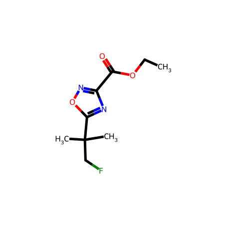 CCOC(=O)c1noc(C(C)(C)CF)n1